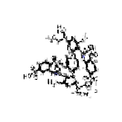 CCN(CC)c1nc(N)c(/N=N/c2cc(S(=O)(=O)O)ccc2S(=O)(=O)O)c(N2CCN(c3nc(N(CC)CC)nc(N)c3/N=N/c3cc(S(=O)(=O)O)ccc3S(=O)(=O)O)CC2)n1